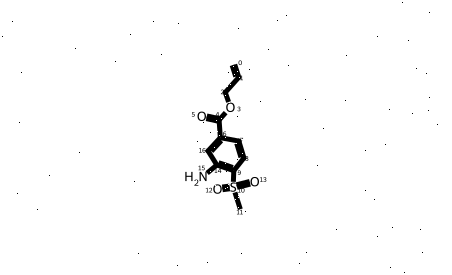 C=CCOC(=O)c1ccc(S(C)(=O)=O)c(N)c1